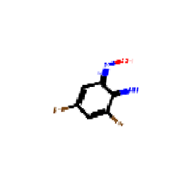 N=C1C(Br)=CC(Br)=C/C1=N/O